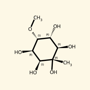 CO[C@@H]1[C@H](O)[C@@H](O)[C@](C)(O)[C@@H](O)[C@H]1O